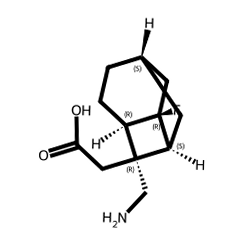 NC[C@@]1(CC(=O)O)[C@@H]2C[C@@H]3CC[C@H]1[C@]2(F)C3